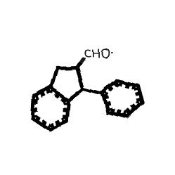 O=[C]C1Cc2ccccc2C1c1ccccc1